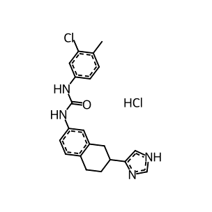 Cc1ccc(NC(=O)Nc2ccc3c(c2)CC(c2c[nH]cn2)CC3)cc1Cl.Cl